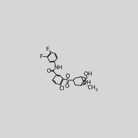 C[C@H]1CC2CC(S(=O)(=O)c3cc(C(=O)Nc4ccc(F)c(F)c4)ccc3Cl)CC1[C@]2(O)CO